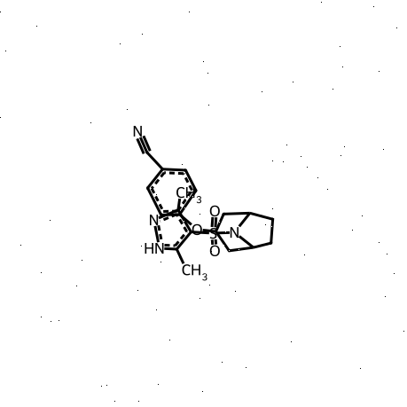 Cc1n[nH]c(C)c1S(=O)(=O)N1C2CCC1CC(Oc1ccc(C#N)cc1)C2